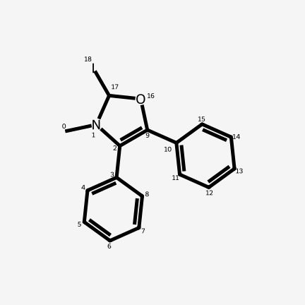 CN1C(c2ccccc2)=C(c2ccccc2)OC1I